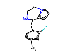 Fc1cc(C(F)(F)F)ccc1C1NCCn2cccc21